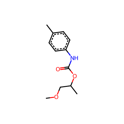 COCC(C)OC(=O)Nc1ccc(C)cc1